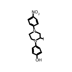 O=[N+]([O-])c1ccc(N2CCN(c3ccc(O)cc3)C(I)C2)cc1